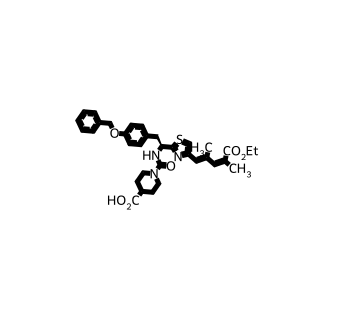 CCOC(=O)/C(C)=C\C(C)=C\c1csc([C@H](Cc2ccc(OCc3ccccc3)cc2)NC(=O)N2CCC(C(=O)O)CC2)n1